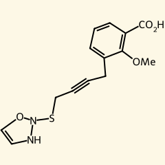 COc1c(CC#CCSN2NC=CO2)cccc1C(=O)O